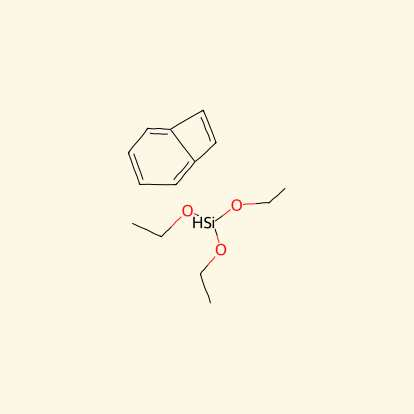 C1=Cc2ccccc21.CCO[SiH](OCC)OCC